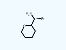 CC(C)[C@H](N)C1CCCCO1